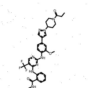 CCC(=O)N1CCC(n2cc(-c3ccc(Nc4ncc(C(F)(F)F)c(Nc5ccccc5C(=O)NC)n4)c(OC)c3)cn2)CC1